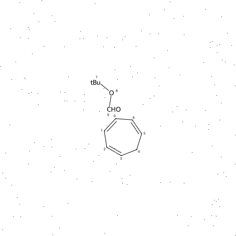 C1=CC=CCC=C1.CC(C)(C)OC=O